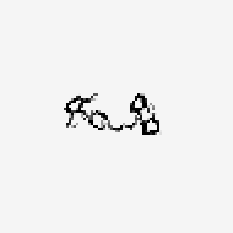 COc1cccc(F)c1N1CCN(CCCN2c3ccccc3Oc3ccccc32)CC1